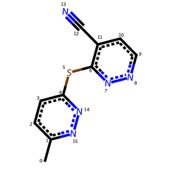 Cc1ccc(Sc2nnccc2C#N)nn1